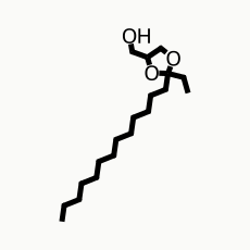 CCCCCCCCCCCCCC1(CC)OCC(CO)O1